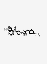 Cc1ccc(Cc2nnc(N3CCC(Nc4ncnc5[nH]ncc45)C3)s2)cc1